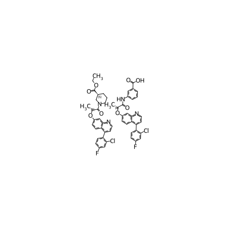 CCOC(=O)[C@H]1CCCN(C(=O)[C@@H](C)Oc2ccc3c(-c4ccc(F)cc4Cl)ccnc3c2)C1.C[C@@H](Oc1ccc2c(-c3ccc(F)cc3Cl)ccnc2c1)C(=O)Nc1cccc(C(=O)O)c1